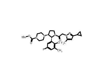 Cc1cc(F)cc([C@H]2[C@@H](N3CCN(C(=O)OC(C)(C)C)CC3)CCN2C(=O)Cn2nc(C3CC3)cc2C(F)(F)F)c1Cl